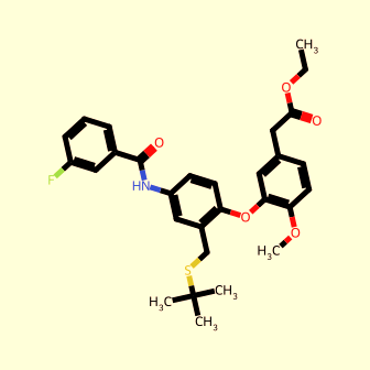 CCOC(=O)Cc1ccc(OC)c(Oc2ccc(NC(=O)c3cccc(F)c3)cc2CSC(C)(C)C)c1